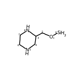 [SiH3]OCC1CNCCN1